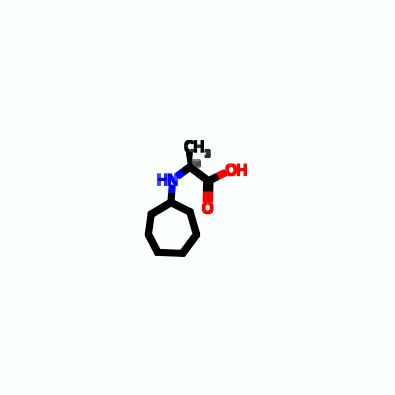 C[C@H](NC1CCCCCC1)C(=O)O